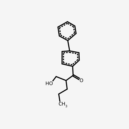 CCCC(CO)C(=O)c1ccc(-c2ccccc2)cc1